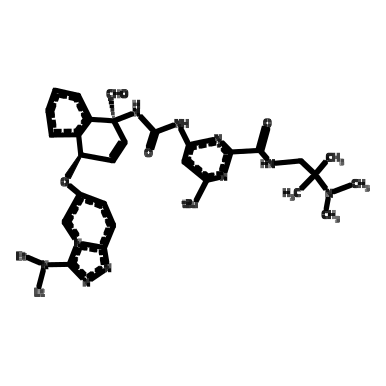 CCN(CC)c1nnc2ccc(O[C@@H]3C=C[C@](C=O)(NC(=O)Nc4cc(C(C)(C)C)nc(C(=O)NCC(C)(C)N(C)C)n4)c4ccccc43)cn12